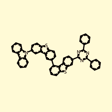 c1ccc(-c2nc(-c3ccccc3)nc(-c3ccc4c(c3)sc3cccc(-c5ccc6sc7ccc(-n8c9ccccc9c9ccccc98)cc7c6c5)c34)n2)cc1